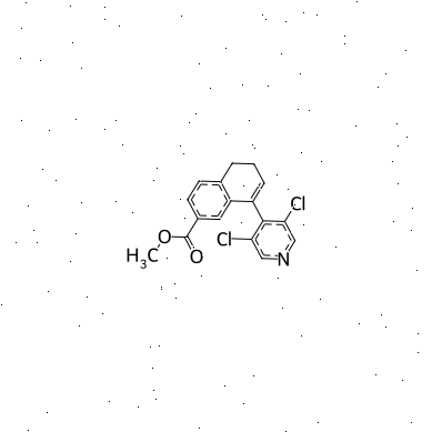 COC(=O)c1ccc2c(c1)C(c1c(Cl)cncc1Cl)=CCC2